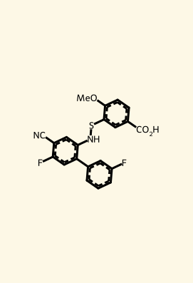 COc1ccc(C(=O)O)cc1SNc1cc(C#N)c(F)cc1-c1cccc(F)c1